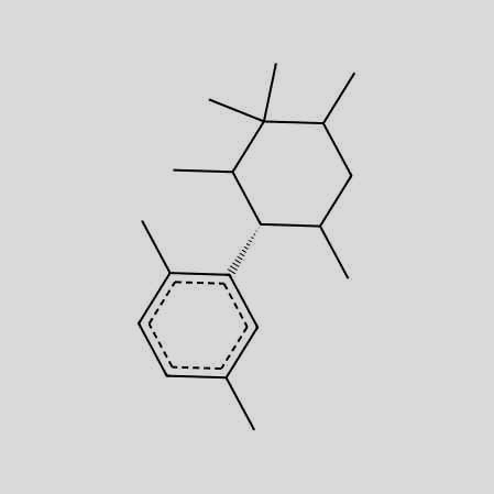 Cc1ccc(C)c([C@H]2C(C)CC(C)C(C)(C)C2C)c1